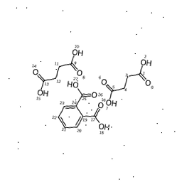 O=C(O)CCC(=O)O.O=C(O)CCC(=O)O.O=C(O)c1ccccc1C(=O)O